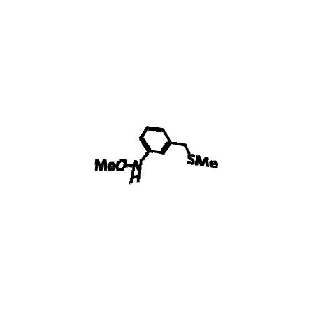 CONc1cccc(CSC)c1